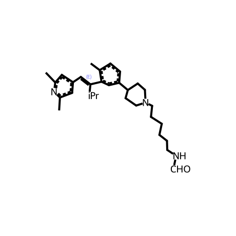 Cc1cc(/C=C(/c2cc(C3CCN(CCCCCCNC=O)CC3)ccc2C)C(C)C)cc(C)n1